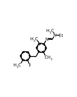 CCN(C)C=Nc1cc(C)c(Cc2cccc(C)c2F)cc1C